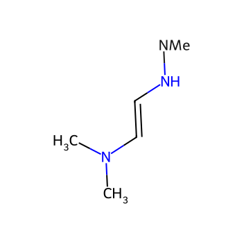 CNNC=CN(C)C